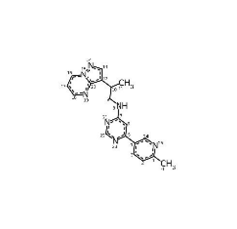 Cc1ccc(-c2cc(NCC(C)c3cnn4cccnc34)ncn2)cn1